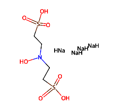 O=S(=O)(O)CCN(O)CCS(=O)(=O)O.[NaH].[NaH].[NaH].[NaH]